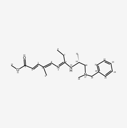 CC\C(=N/C=C(C)/C=C/C(=O)OC)N[C@H](C)CN(C)Cc1ccccc1